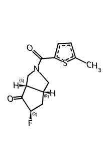 Cc1ccc(C(=O)N2C[C@@H]3C[C@@H](F)C(=O)[C@@H]3C2)s1